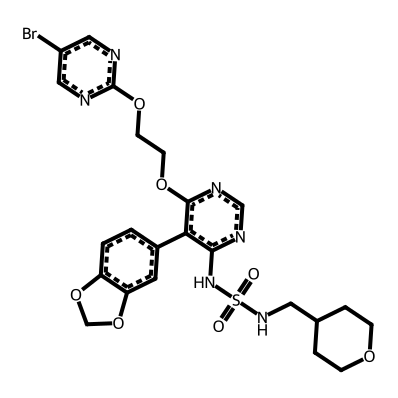 O=S(=O)(NCC1CCOCC1)Nc1ncnc(OCCOc2ncc(Br)cn2)c1-c1ccc2c(c1)OCO2